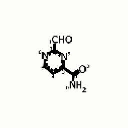 NC(=O)c1ccnc(C=O)n1